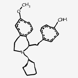 COc1ccc2c(c1)CCN(C1CCCC1)C2Cc1ccc(O)cc1